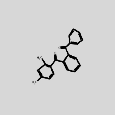 Cc1ccc(C(=O)c2ccccc2C(=O)c2ccccc2)c(C)c1